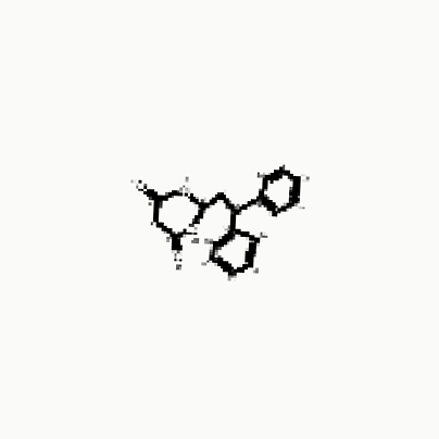 O=C1CC(=O)OC(CC(c2ccccc2)c2ccccc2)O1